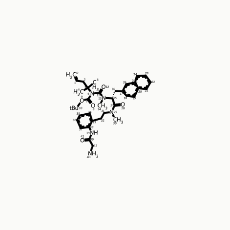 C=CCC(C)(C)N(C(=O)OC(C)(C)C)C(=O)N(C)[C@H](Cc1ccc2ccccc2c1)C(=O)N(C)CCc1ccccc1NC(=O)CN